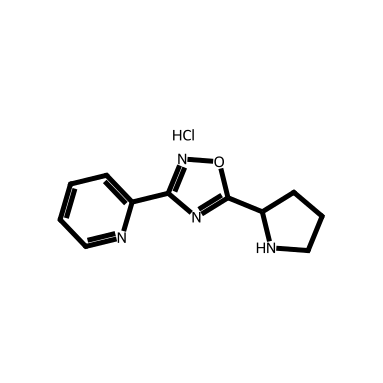 Cl.c1ccc(-c2noc(C3CCCN3)n2)nc1